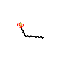 CCCCCCCCCCC/C=C\CCCCCOS(C)(=O)=O